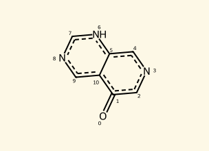 O=c1cncc2[nH]cncc1-2